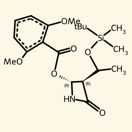 COc1cccc(OC)c1C(=O)O[C@H]1NC(=O)[C@@H]1C(C)O[Si](C)(C)C(C)(C)C